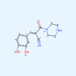 N#C/C(=C\c1ccc(O)c(O)c1)C(=O)N1CCNCC1